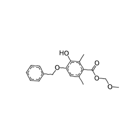 COCOC(=O)c1c(C)cc(OCc2ccccc2)c(O)c1C